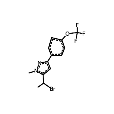 CC(Br)c1cc(-c2ccc(OC(F)(F)F)cc2)nn1C